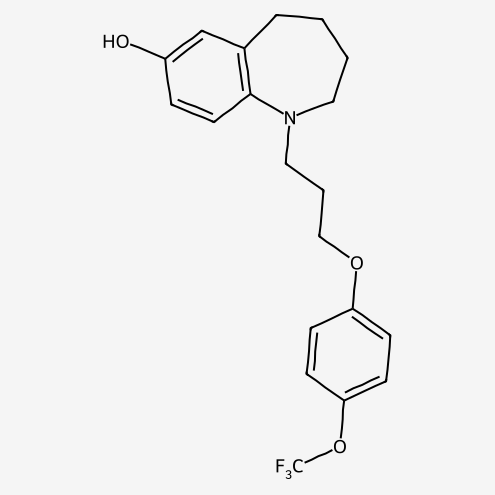 Oc1ccc2c(c1)CCCCN2CCCOc1ccc(OC(F)(F)F)cc1